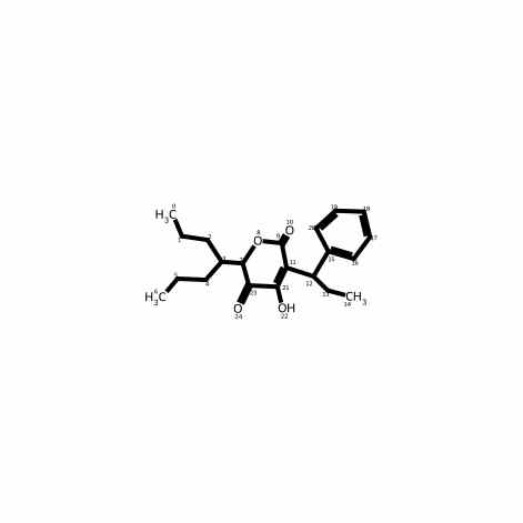 CCCC(CCC)C1OC(=O)C(C(CC)c2ccccc2)=C(O)C1=O